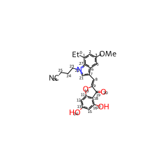 CCc1cc(OC)cc2c(C=C3Oc4cc(O)cc(O)c4C3=O)cn(CCCC#N)c12